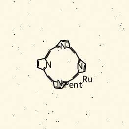 C1=CC2=NC1=CC1=NC(=CC3=NC(=CC4=NC(=C2)C=C4)C=C3)C=C1.CCCC[CH2][Ru]